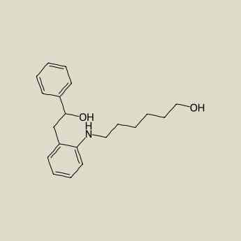 OCCCCCCNc1ccccc1CC(O)c1ccccc1